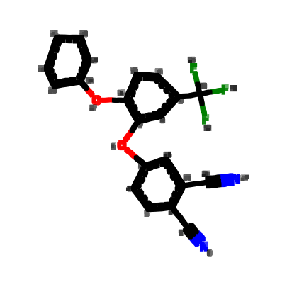 N#Cc1ccc(Oc2cc(C(F)(F)F)ccc2Oc2ccccc2)cc1C#N